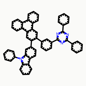 c1ccc(-c2nc(-c3ccccc3)nc(-c3cccc(-c4cc5c6ccccc6c6ccccc6c5cc4-c4ccc5c6ccccc6n(-c6ccccc6)c5c4)c3)n2)cc1